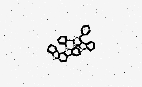 c1ccc(-c2nc(-c3ccccc3-n3c4ccccc4c4ccc5oc6ccccc6c5c43)nc3oc4ccccc4c23)cc1